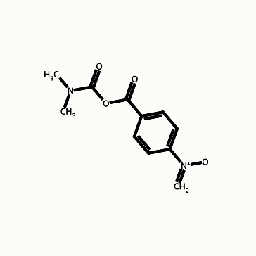 C=[N+]([O-])c1ccc(C(=O)OC(=O)N(C)C)cc1